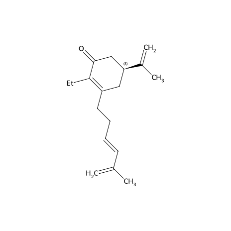 C=C(C)C=CCCC1=C(CC)C(=O)C[C@@H](C(=C)C)C1